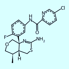 C[C@H]1COC[C@]2(c3cc(NC(=O)c4ccc(Cl)cn4)ccc3F)N=C(N)SC[C@H]12